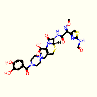 CON=C(C(=O)N[C@@H]1C(=O)N2C(C(=O)[O-])=C(C[N+]3(C)CCN(C(=O)c4ccc(O)c(O)c4)CC3)CS[C@@H]12)c1csc(NC=O)n1